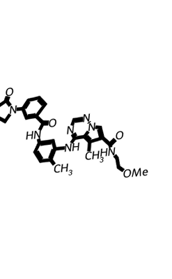 COCCNC(=O)c1cn2ncnc(Nc3cc(NC(=O)c4cccc(N5CCCC5=O)c4)ccc3C)c2c1C